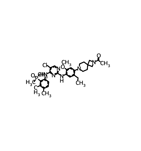 CCc1cc(Nc2ncc(Cl)c(Nc3ccc(C)c(C)c3P(C)(C)=O)n2)c(OC)cc1N1CCC2(CC1)CN(C(C)=O)C2